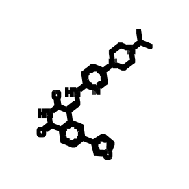 CC(C)N1CCN(c2ccc(NC=C3C(=O)NC(=O)c4ccc(-c5ccoc5)cc43)nc2)CC1